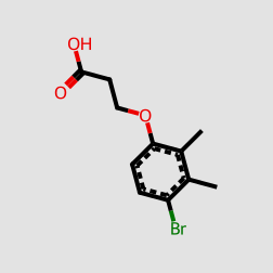 Cc1c(Br)ccc(OCCC(=O)O)c1C